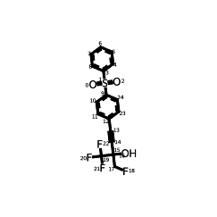 O=S(=O)(c1ccccc1)c1ccc(C#CC(O)(CF)C(F)(F)F)cc1